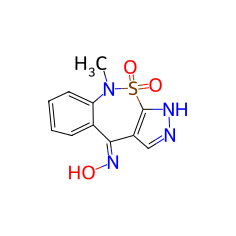 CN1c2ccccc2C(=NO)c2cn[nH]c2S1(=O)=O